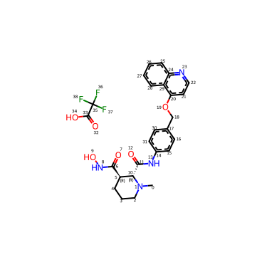 CN1CCC[C@@H](C(=O)NO)[C@@H]1C(=O)Nc1ccc(COc2ccnc3ccccc23)cc1.O=C(O)C(F)(F)F